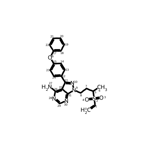 C=CS(=O)(=O)C(C)CCn1nc(-c2ccc(Oc3ccccc3)cc2)c2c(N)ncnc21